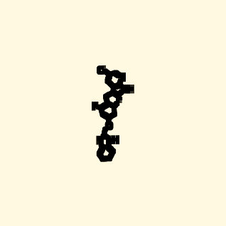 FC1=C(Cc2c[nH]c3ncc(Cl)cc23)C(F)CC(OCc2nc3ccccc3[nH]2)=C1